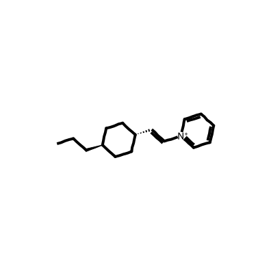 CCC[C@H]1CC[C@H](C=C[n+]2ccccc2)CC1